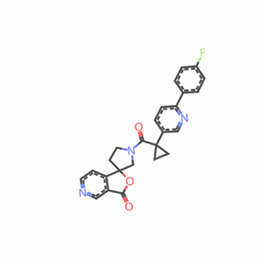 O=C1OC2(CCN(C(=O)C3(c4ccc(-c5ccc(F)cc5)nc4)CC3)C2)c2ccncc21